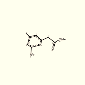 CCCc1cc(C)cc(CC(=O)OC)c1